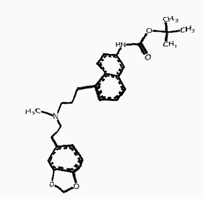 CN(CCCc1cccc2cc(NC(=O)OC(C)(C)C)ccc12)CCc1ccc2c(c1)OCO2